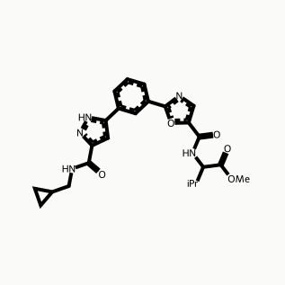 COC(=O)C(NC(=O)c1cnc(-c2cccc(-c3cc(C(=O)NCC4CC4)n[nH]3)c2)o1)C(C)C